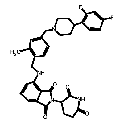 Cc1cc(CN2CCC(c3ccc(F)cc3F)CC2)ccc1CNc1cccc2c1C(=O)N(C1CCC(=O)NC1=O)C2=O